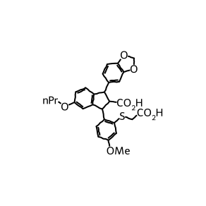 CCCOc1ccc2c(c1)C(c1ccc(OC)cc1SCC(=O)O)C(C(=O)O)C2c1ccc2c(c1)OCO2